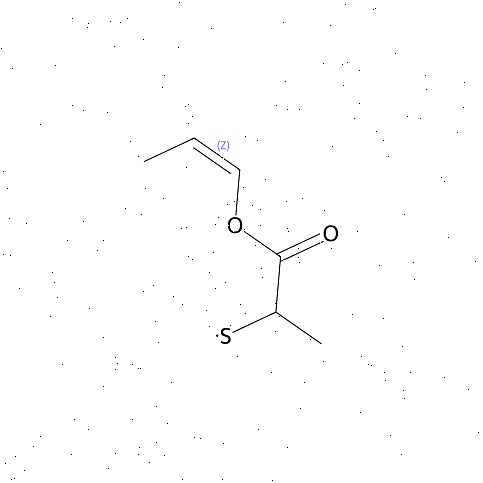 C/C=C\OC(=O)C(C)[S]